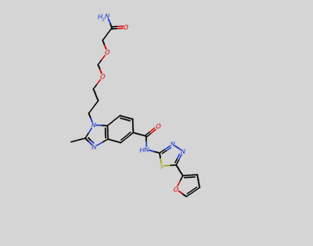 Cc1nc2cc(C(=O)Nc3nnc(-c4ccco4)s3)ccc2n1CCCOCOCC(N)=O